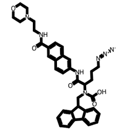 [N-]=[N+]=NCCCC(C(=O)Nc1ccc2cc(C(=O)NCCN3CCOCC3)ccc2c1)N(CC1c2ccccc2-c2ccccc21)C(=O)O